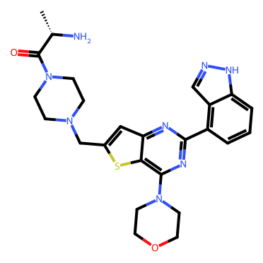 C[C@H](N)C(=O)N1CCN(Cc2cc3nc(-c4cccc5[nH]ncc45)nc(N4CCOCC4)c3s2)CC1